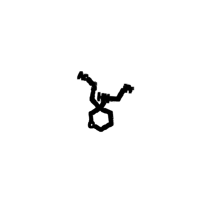 CC(=O)SCC1(NCC(C)C)CCCOC1